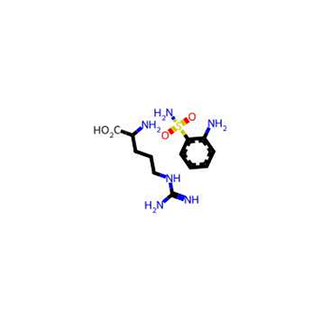 N=C(N)NCCCC(N)C(=O)O.Nc1ccccc1S(N)(=O)=O